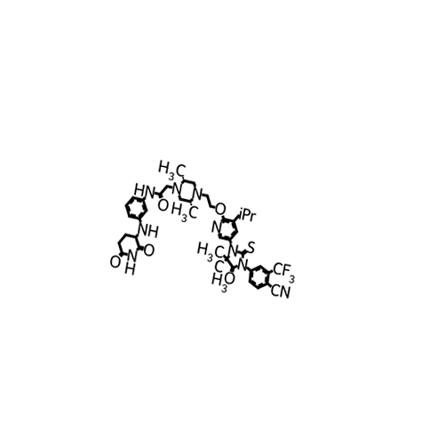 CC(C)c1cc(N2C(=S)N(c3ccc(C#N)c(C(F)(F)F)c3)C(=O)C2(C)C)cnc1OCCN1C[C@@H](C)N(CC(=O)Nc2cccc(NC3CCC(=O)NC3=O)c2)C[C@H]1C